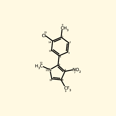 Cc1ccc(-c2c([N+](=O)[O-])c(C(F)(F)F)cn2C)cc1Cl